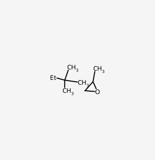 CC1CO1.CCC(C)(C)C